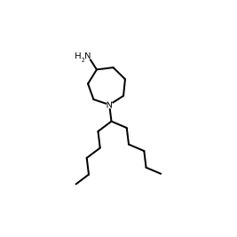 CCCCCC(CCCCC)N1CCCC(N)CC1